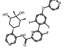 C[C@H]1C[C@@H](c2ccncc2NC(=O)c2ccc(F)c(-c3c(F)cc(Oc4ccncc4)cc3F)n2)C[C@@H](O)[C@]1(C)O